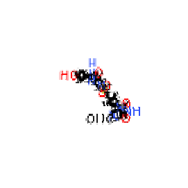 Cc1cc(N2C(=O)NC(=O)C23CCN(C=O)CC3)cc(C)c1CCS(=O)(=O)N1CCC2(CC1)N=C(c1ccc(O)cc1)NC2=O